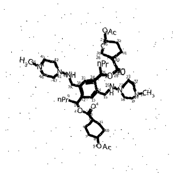 CCCC(OC(=O)C1CCC(OC(C)=O)CC1)c1cc(CNN2CCN(C)CC2)c(C(CCC)OC(=O)C2CCC(OC(C)=O)CC2)cc1CNN1CCN(C)CC1